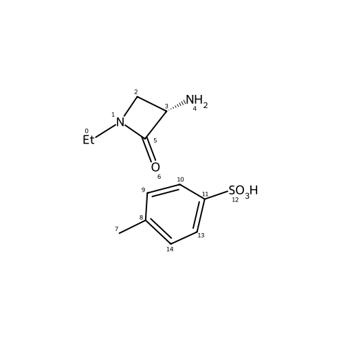 CCN1C[C@H](N)C1=O.Cc1ccc(S(=O)(=O)O)cc1